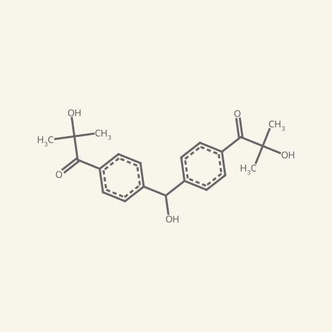 CC(C)(O)C(=O)c1ccc(C(O)c2ccc(C(=O)C(C)(C)O)cc2)cc1